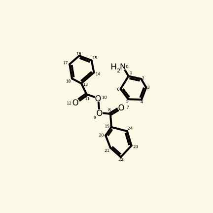 Nc1ccccc1.O=C(OOC(=O)c1ccccc1)c1ccccc1